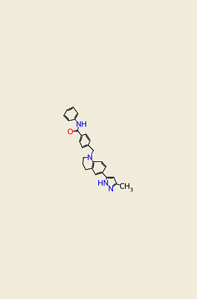 Cc1cc(-c2ccc3c(c2)CCCN3Cc2ccc(C(=O)Nc3ccccc3)cc2)[nH]n1